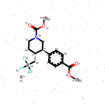 CC(C)(C)OC(=O)c1ccc([C@@H]2CN(C(=O)OC(C)(C)C)CC[C@H]2C[B-](F)(F)F)cc1.[K+]